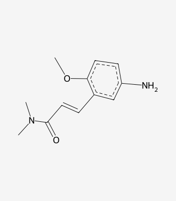 COc1ccc(N)cc1C=CC(=O)N(C)C